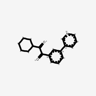 O=C(C(=O)C1CCCCC1)c1cccc(-c2cccnc2)c1